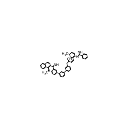 C=Nc1c(C(=N)c2cccc(-c3cccc(-c4cccc(CC(=C)/C=C\C5=C(/N=C(\N)c6ccccc6)C=CC(C)C5)c4)c3)c2)ccc2ccccc12